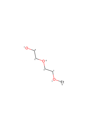 [CH2]COCCOCC[O]